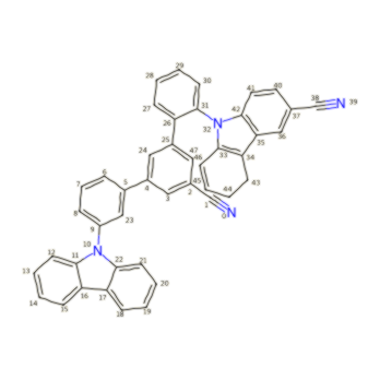 N#Cc1cc(-c2cccc(-n3c4ccccc4c4ccccc43)c2)cc(-c2ccccc2-n2c3c(c4cc(C#N)ccc42)CCC=C3)c1